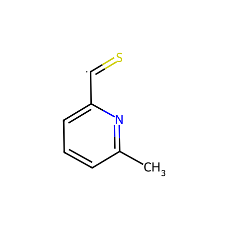 Cc1cccc([C]=S)n1